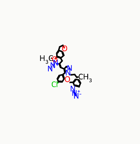 CCCCn1ncc(/C=C(\Cc2cc3c(cc2OC)CCO3)N=[N+]=[N-])c1-c1ccc(Cl)cc1OCc1ccccc1N=[N+]=[N-]